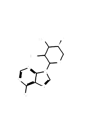 Nc1ncnc2c1ncn2C1OC[C@H](O)C(O)C1O